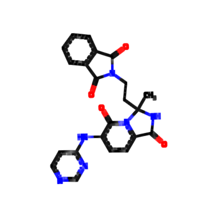 CC1(CCN2C(=O)c3ccccc3C2=O)NC(=O)c2ccc(Nc3ccncn3)c(=O)n21